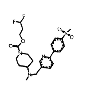 CN(Cc1ccc(-c2ccc(S(C)(=O)=O)cc2)nc1)C1CCN(C(=O)OCCC(F)F)CC1